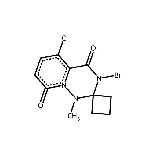 CN1n2c(c(Cl)ccc2=O)C(=O)N(Br)C12CCC2